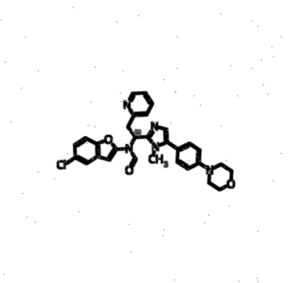 Cn1c(-c2ccc(N3CCOCC3)cc2)cnc1[C@H](Cc1ccccn1)N(C=O)c1cc2cc(Cl)ccc2o1